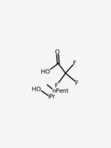 CC(C)O.CCCCCC.O=C(O)C(F)(F)F